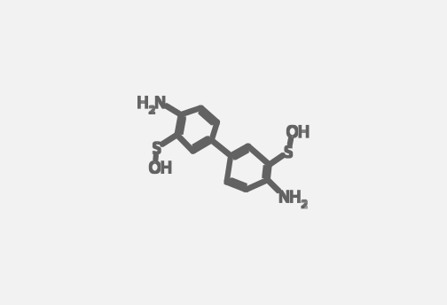 Nc1ccc(-c2ccc(N)c(SO)c2)cc1SO